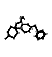 CN1CCC(CCN)(N2CCN(Cc3ccccc3)CC2)CC1